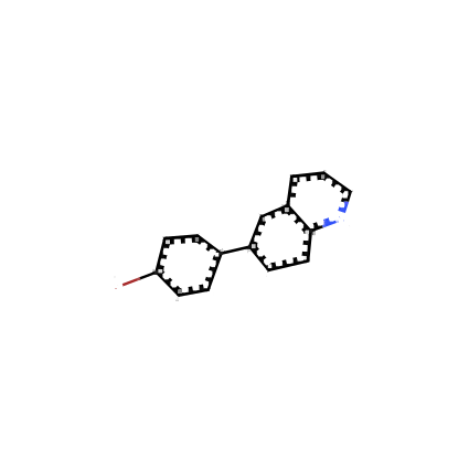 Brc1ccc(-c2ccc3ncccc3c2)cc1